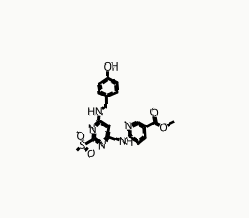 COC(=O)c1ccc(Nc2cc(NCc3ccc(O)cc3)nc(S(C)(=O)=O)n2)nc1